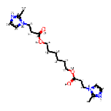 Cc1nccn1CCC(=O)OCCCCCCOC(=O)CCn1ccnc1C